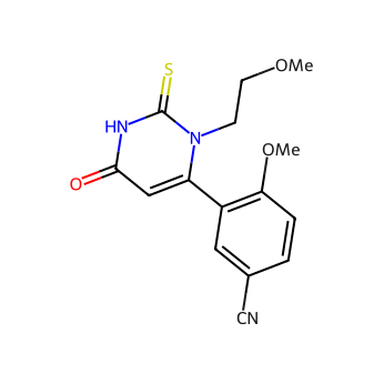 COCCn1c(-c2cc(C#N)ccc2OC)cc(=O)[nH]c1=S